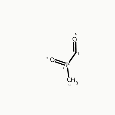 C[P](=O)C=O